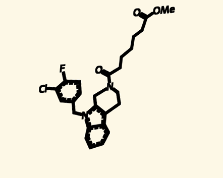 COC(=O)CCCCCC(=O)N1CCc2c(n(Cc3ccc(F)c(Cl)c3)c3ccccc23)C1